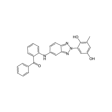 Cc1cc(O)cc(-n2nc3ccc(Nc4ccccc4C(=O)c4ccccc4)cc3n2)c1O